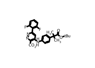 CC(C)(C)OC(=O)C(C)(C)c1ccc(Nc2cc(-c3c(F)cccc3F)nnc2C(=O)O)cc1